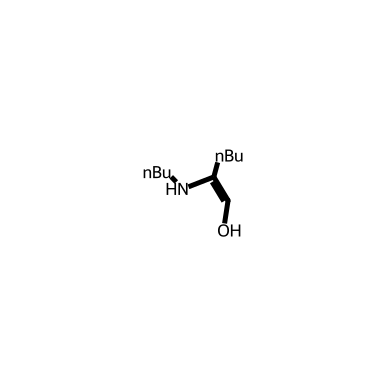 CCCCN/C(=C\O)CCCC